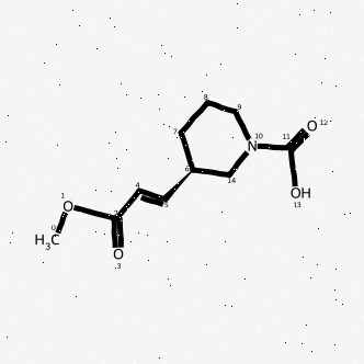 COC(=O)/C=C/[C@H]1CCCN(C(=O)O)C1